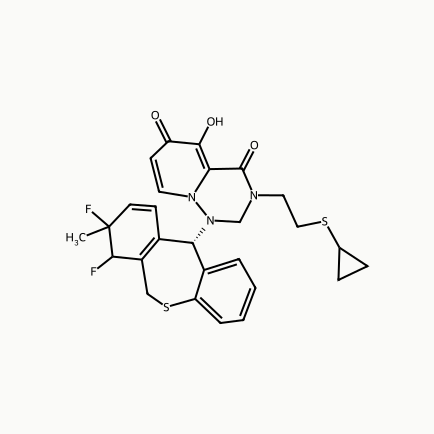 CC1(F)C=CC2=C(CSc3ccccc3[C@H]2N2CN(CCSC3CC3)C(=O)c3c(O)c(=O)ccn32)C1F